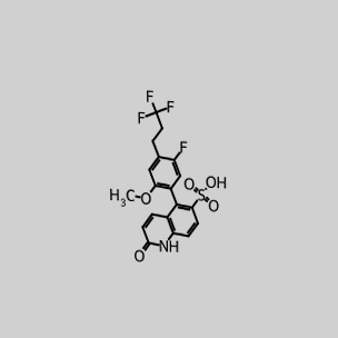 COc1cc(CCC(F)(F)F)c(F)cc1-c1c(S(=O)(=O)O)ccc2[nH]c(=O)ccc12